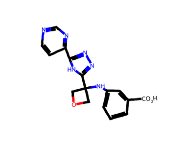 O=C(O)c1cccc(NC2(c3nnc(-c4ccncn4)[nH]3)COC2)c1